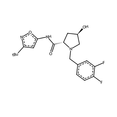 CC(C)(C)c1cc(NC(=O)[C@@H]2C[C@@H](O)CN2Cc2ccc(F)c(F)c2)on1